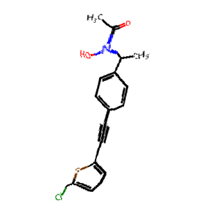 CC(=O)N(O)C(C)c1ccc(C#Cc2ccc(Cl)s2)cc1